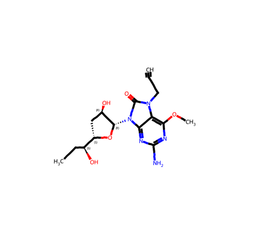 C#CCn1c(=O)n([C@@H]2O[C@H]([C@@H](O)CC)C[C@H]2O)c2nc(N)nc(OC)c21